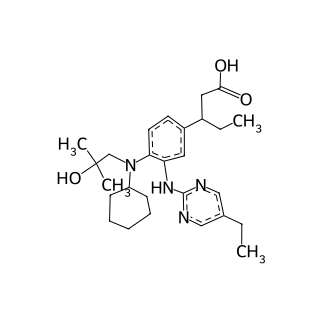 CCc1cnc(Nc2cc(C(CC)CC(=O)O)ccc2N(CC(C)(C)O)C2CCCCC2)nc1